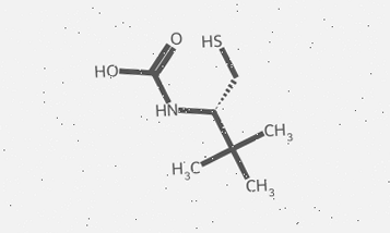 CC(C)(C)[C@@H](CS)NC(=O)O